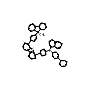 CC1(c2ccc(-c3cccc4c3sc3c(-c5ccc(N(c6ccc(-c7ccccc7)cc6)c6cccc7ccccc67)cc5)cccc34)cc2)c2ccccc2-c2ccccc21